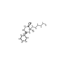 CCCCCCC1(I)CN(c2ccccc2)CCC1=O